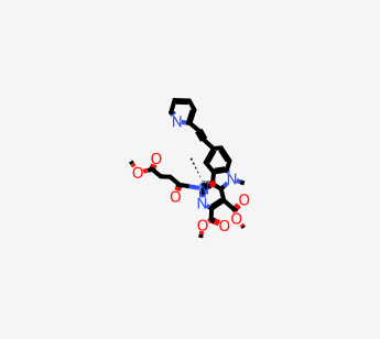 COC(=O)CCC(=O)N1C2=NC(C(=O)OC)=C(C(=O)OC)C3N(C)c4ccc(C#Cc5ccccn5)cc4[C@]23C[C@H]1C